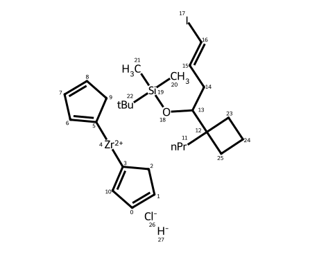 C1=CC[C]([Zr+2][C]2=CC=CC2)=C1.CCCC1(C(CC=CI)O[Si](C)(C)C(C)(C)C)CCC1.[Cl-].[H-]